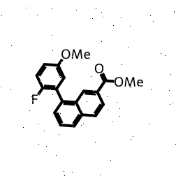 COC(=O)c1ccc2cccc(-c3cc(OC)ccc3F)c2c1